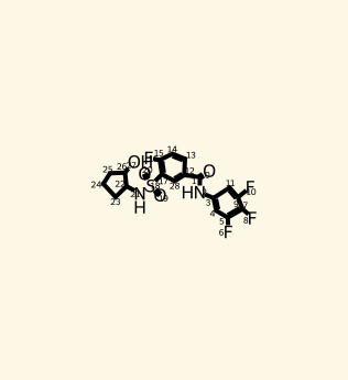 O=C(Nc1cc(F)c(F)c(F)c1)c1ccc(F)c(S(=O)(=O)NC2CCCC2O)c1